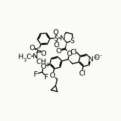 CN(C)S(=O)(=O)c1cccc(S(=O)(=O)N2CCS[C@H]2C(=O)O[C@@H](Cc2c(Cl)c[n+]([O-])cc2Cl)c2ccc(OC(F)F)c(OCC3CC3)c2)c1